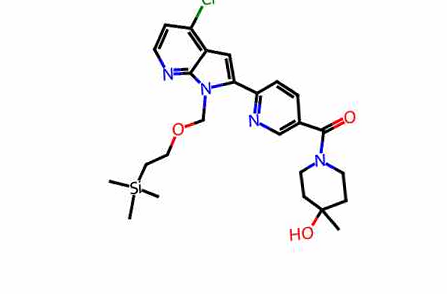 CC1(O)CCN(C(=O)c2ccc(-c3cc4c(Cl)ccnc4n3COCC[Si](C)(C)C)nc2)CC1